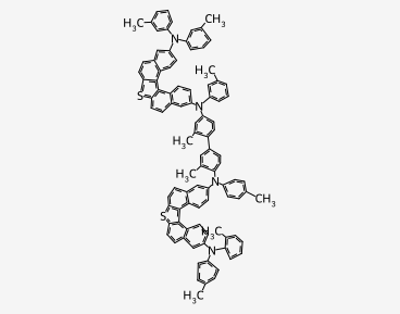 Cc1ccc(N(c2ccc3c(ccc4sc5ccc6cc(N(c7ccc(C)cc7)c7ccc(-c8ccc(N(c9cccc(C)c9)c9ccc%10c(ccc%11sc%12ccc%13cc(N(c%14cccc(C)c%14)c%14cccc(C)c%14)ccc%13c%12c%11%10)c9)cc8C)cc7C)ccc6c5c43)c2)c2ccccc2C)cc1